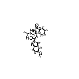 CCCCC1(CC(O)C2=Nc3ccc(OC)cc3C2)NC(=O)C2=C1CCC=C2